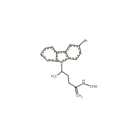 C=C(CCC(C)n1c2ccc(C(C)C)cc2c2cccnc21)NC=O